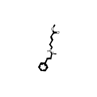 COC(=O)CCCCN[C@@H](C)CCc1ccccc1